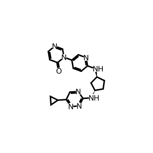 O=c1ccncn1-c1ccc(N[C@H]2CC[C@H](Nc3ncc(C4CC4)nn3)C2)nc1